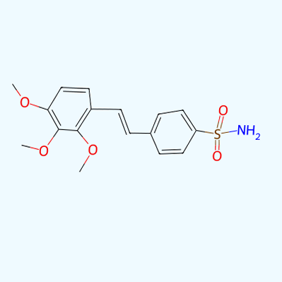 COc1ccc(C=Cc2ccc(S(N)(=O)=O)cc2)c(OC)c1OC